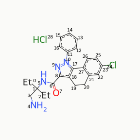 CCC(CC)(CN)NC(=O)c1nn(-c2ccccc2)c2c1CCc1cc(Cl)ccc1-2.Cl